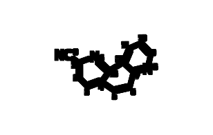 N#Cc1ccc2ccc3ncccc3c2n1